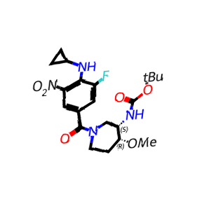 CO[C@@H]1CCN(C(=O)c2cc(F)c(NC3CC3)c([N+](=O)[O-])c2)C[C@@H]1NC(=O)OC(C)(C)C